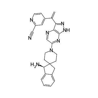 C=C(c1ccnc(C#N)c1)c1n[nH]c2nc(N3CCC4(CC3)Cc3ccccc3[C@H]4N)cnc12